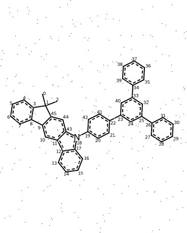 CC1(C)c2ccccc2-c2cc3c4ccccc4n(-c4ccc(-c5cc(-c6ccccc6)cc(-c6ccccc6)c5)cc4)c3cc21